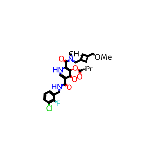 COCC1CC(CN(C)C(=O)c2[nH]cc(C(=O)NCc3cccc(Cl)c3F)c(=O)c2OC(=O)C(C)C)C1